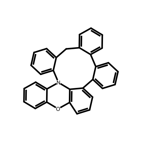 c1ccc2c(c1)Cc1ccccc1N1c3ccccc3Oc3cccc(c31)-c1ccccc1-2